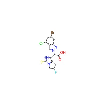 O=C(O)C(c1[nH]c(=S)n2c1CC(F)C2)n1cc2c(Cl)cc(Br)cc2n1